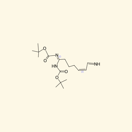 CC(C)(C)OC(=O)/N=C(/CCC/C=C\C=N)NC(=O)OC(C)(C)C